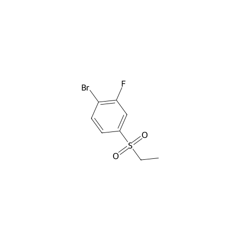 CCS(=O)(=O)c1ccc(Br)c(F)c1